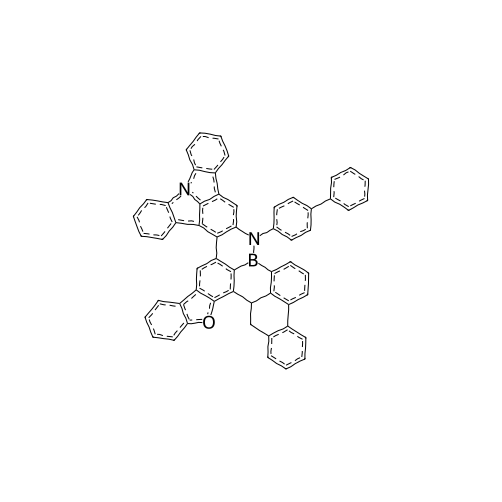 c1ccc(-c2ccc(N3B4c5cccc6c5C(Cc5ccccc5-6)c5c4c(cc4c5oc5ccccc54)-c4c3cc3c5ccccc5n5c6ccccc6c4c35)cc2)cc1